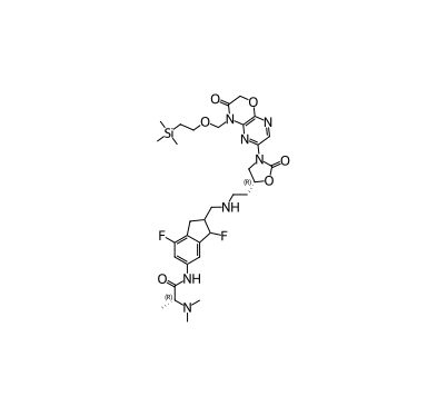 C[C@H](C(=O)Nc1cc(F)c2c(c1)C(F)C(CNCC[C@@H]1CN(c3cnc4c(n3)N(COCC[Si](C)(C)C)C(=O)CO4)C(=O)O1)C2)N(C)C